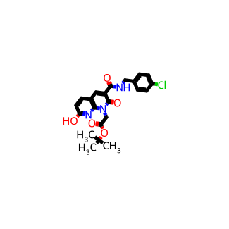 CC(C)(C)OC(=O)Cn1c(=O)c(C(=O)NCc2ccc(Cl)cc2)cc2ccc(O)nc21